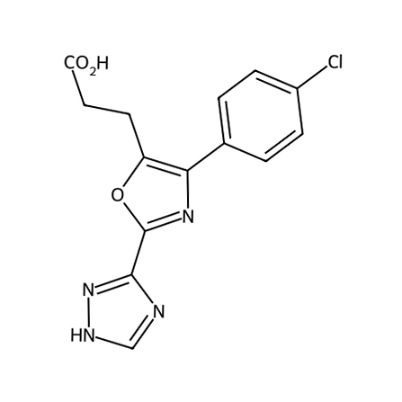 O=C(O)CCc1oc(-c2nc[nH]n2)nc1-c1ccc(Cl)cc1